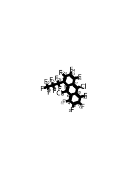 Fc1c(F)c(F)c2c(Cl)c3c(C(F)(F)C(F)(F)C(F)(F)F)c(F)c(F)c(F)c3c(Cl)c2c1F